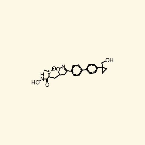 C[S+]([O-])C(CC1CC(c2ccc(-c3ccc(C4(CO)CC4)cc3)cc2)=NO1)C(=O)NO